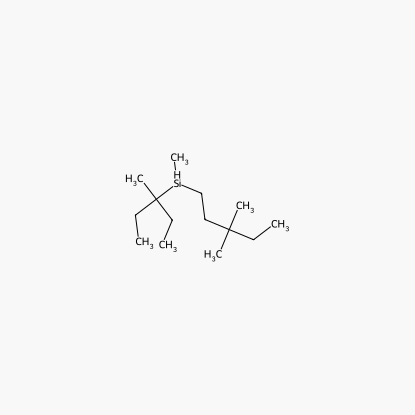 CCC(C)(C)CC[SiH](C)C(C)(CC)CC